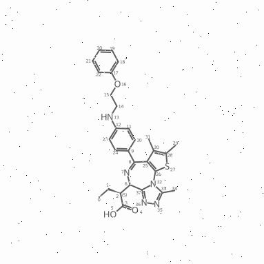 CC[C@H](C(=O)O)C1N=C(c2ccc(NCCOc3ccccc3)cc2)c2c(sc(C)c2C)-n2c(C)nnc21